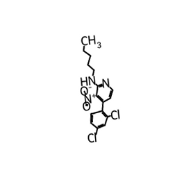 CCCCCNc1nccc(-c2ccc(Cl)cc2Cl)c1[N+](=O)[O-]